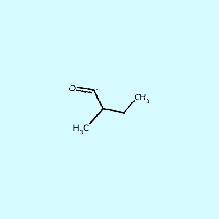 C[CH]C(C)[C]=O